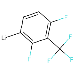 [Li][c]1ccc(F)c(C(F)(F)F)c1F